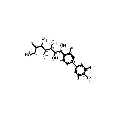 Cc1cc(-c2cc(F)c(Br)c(F)c2)ccc1[C@@H](O)C(O)C(O)C(O)C(O)C(C)CO